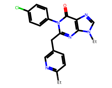 CCc1ccc(Cc2nc3c(ncn3CC)c(=O)n2-c2ccc(Cl)cc2)cn1